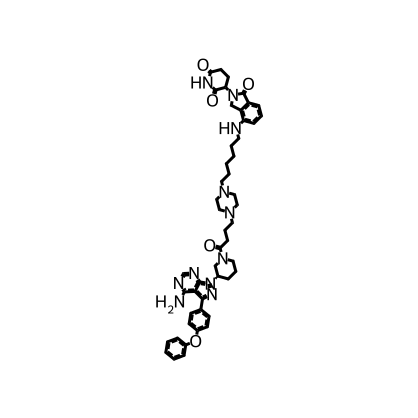 Nc1ncnc2c1c(-c1ccc(Oc3ccccc3)cc1)nn2[C@@H]1CCCN(C(=O)CCCN2CCN(CCCCCCNc3cccc4c3CN(C3CCC(=O)NC3=O)C4=O)CC2)C1